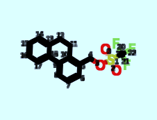 O=S(=O)(OCc1cccc2c1CCc1ccccc1-2)C(F)(F)F